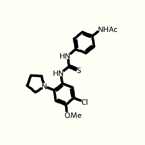 COc1cc(N2CCCC2)c(NC(=S)Nc2ccc(NC(C)=O)cc2)cc1Cl